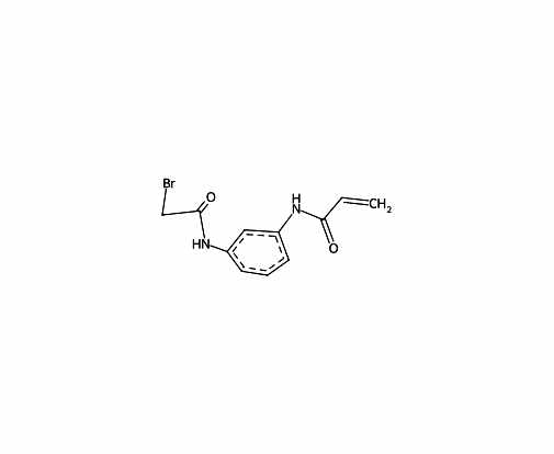 C=CC(=O)Nc1cccc(NC(=O)CBr)c1